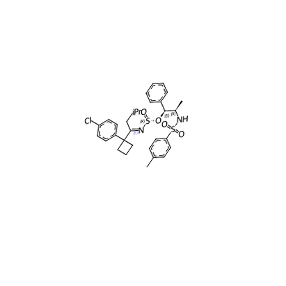 Cc1ccc(S(=O)(=O)N[C@H](C)[C@@H](O[S@@](=O)/N=C(\CC(C)C)C2(c3ccc(Cl)cc3)CCC2)c2ccccc2)cc1